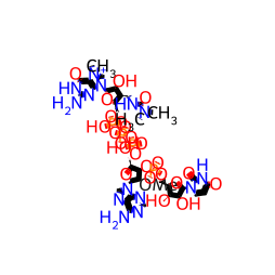 CO[C@@H]1[C@H](OP(=O)([O-])OC[C@H]2O[C@@H](n3ccc(=O)[nH]c3=O)[C@H](O)[C@@H]2O)[C@@H](COP(=O)(O)OP(=O)(O)OP(=O)(O)OC[C@H]2O[C@@H](n3c[n+](C)c4c(=O)[nH]c(N)nc43)[C@H](O)[C@@H]2CNC(=O)N(C)C)O[C@H]1n1cnc2c(N)ncnc21